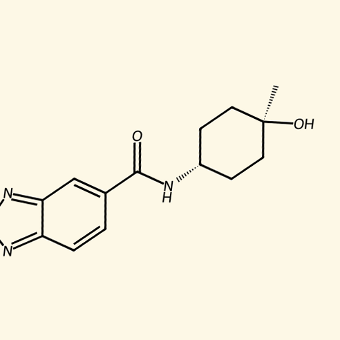 C[C@]1(O)CC[C@H](NC(=O)c2ccc3nonc3c2)CC1